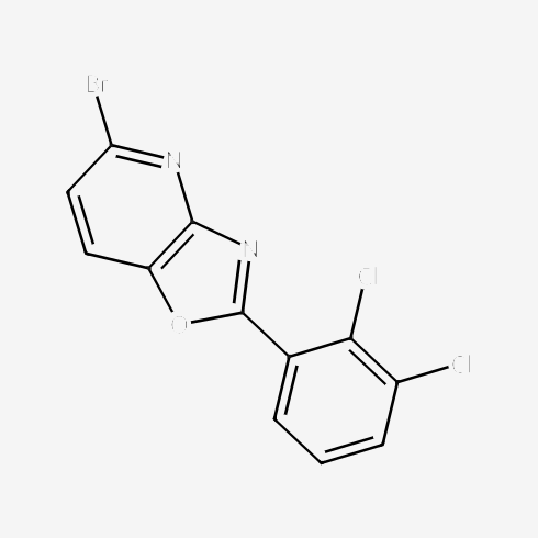 Clc1cccc(-c2nc3nc(Br)ccc3o2)c1Cl